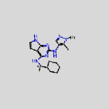 Cc1c(Nc2nc(N[C@H](C)C3CCCCC3)c3cc[nH]c3n2)cnn1C(C)C